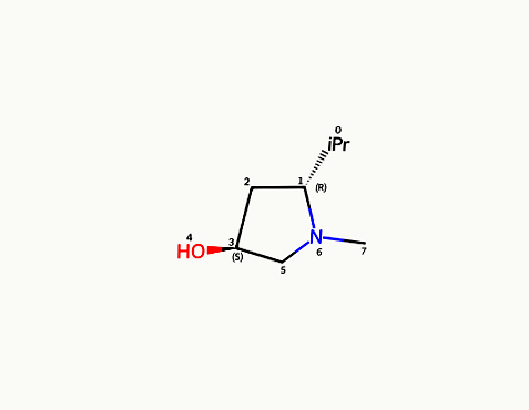 CC(C)[C@H]1C[C@H](O)CN1C